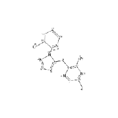 CCCc1nc(C)cnc1Cc1ccnn1-c1ncccc1Cl